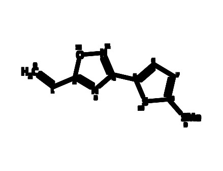 C=Cc1nc(-c2ccc(SC)s2)no1